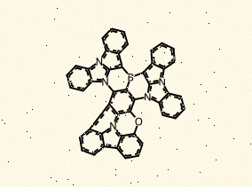 c1ccc2c(c1)c1c3n(c4ccccc4n23)-c2c3c(c4c5cccc6c7cccc8c7n(c4c2O8)c65)-n2c4ccccc4n4c5ccccc5c(c24)B31